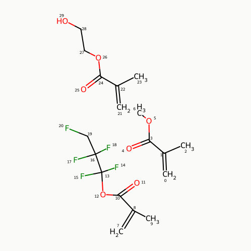 C=C(C)C(=O)OC.C=C(C)C(=O)OC(F)(F)C(F)(F)CF.C=C(C)C(=O)OCCO